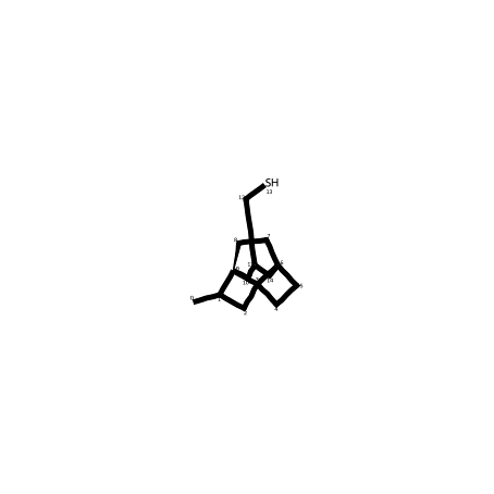 CC1CC23CCC24CC[C@]13CC(CS)C4